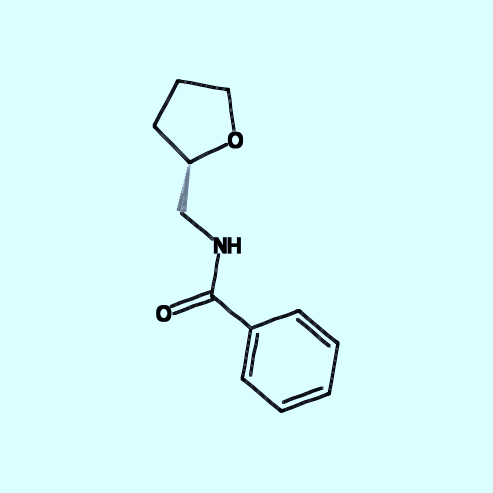 O=C(NC[C@@H]1CCCO1)c1ccccc1